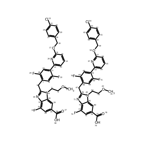 COCCn1c(Cc2cc(F)c(-c3cccc(OCc4ccc(Cl)cc4)n3)cc2F)nc2c(F)cc(C(=O)O)cc21.COCCn1c(Cc2cc(F)c(-c3cccc(OCc4ccc(Cl)cc4)n3)cc2F)nc2c(F)cc(C(=O)O)cc21